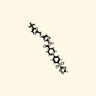 CC(C)(C)c1cnc(CSc2cnc(NC(=O)C3CCN(c4ccc(S(=O)(=O)n5ncnn5)cc4)CC3)s2)o1